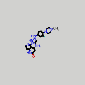 CN1CCN(c2ccc(NN3C=C(N)N(c4nccc5[nH]c(=O)ccc45)N3)cc2F)CC1